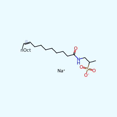 CCCCCCCC/C=C\CCCCCCCC(=O)NCC(C)S(=O)(=O)[O-].[Na+]